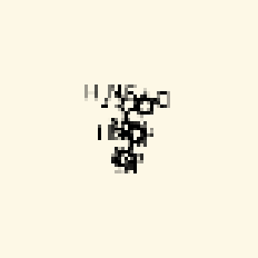 NCCC(c1ccc(Cl)cc1F)c1n[nH]c2c(-c3cccnc3)cccc12